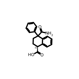 NC(=O)C1(c2ccccc2)CC[C@H](C(=O)O)c2ccccc21